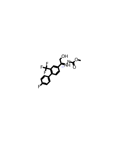 COC(=O)N/N=C(\CO)c1ccc(-c2ccc(F)cc2)c(C(F)(F)F)c1